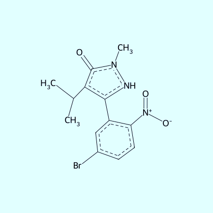 CC(C)c1c(-c2cc(Br)ccc2[N+](=O)[O-])[nH]n(C)c1=O